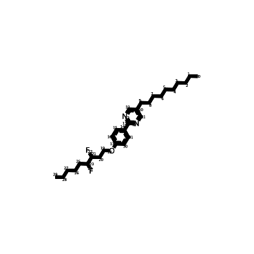 CCCCCCCCCCc1cnc(-c2ccc(OCCC(F)C(F)CCCCC)cc2)nc1